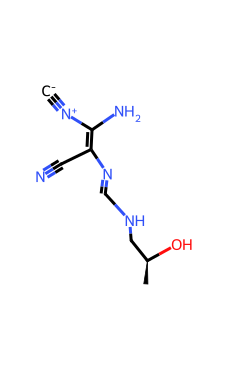 [C-]#[N+]/C(N)=C(C#N)/N=C/NC[C@H](C)O